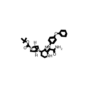 CC(C)(C)OC(=O)N1C[C@H]2C[C@@H]1CN2C1CCNc2c1nn(-c1ccc(Oc3ccccc3)cc1)c2C(N)=O